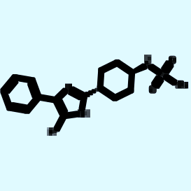 CC(C)c1[nH]c([C@H]2CC[C@H](NS(=O)(=O)C(C)(C)C)CC2)nc1-c1ccccc1